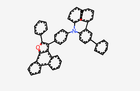 c1ccc(-c2ccc(N(c3ccccc3)c3ccc(-c4c(-c5ccccc5)oc5c6ccccc6c6ccccc6c45)cc3)c(-c3ccccc3)c2)cc1